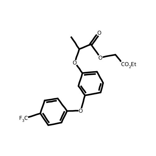 CCOC(=O)COC(=O)C(C)Oc1cccc(Oc2ccc(C(F)(F)F)cc2)c1